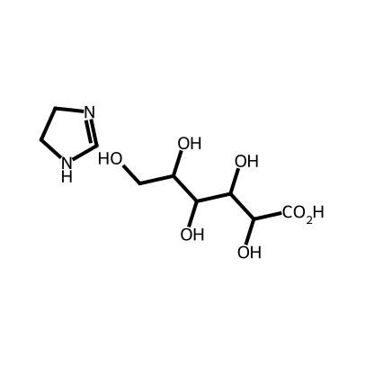 C1=NCCN1.O=C(O)C(O)C(O)C(O)C(O)CO